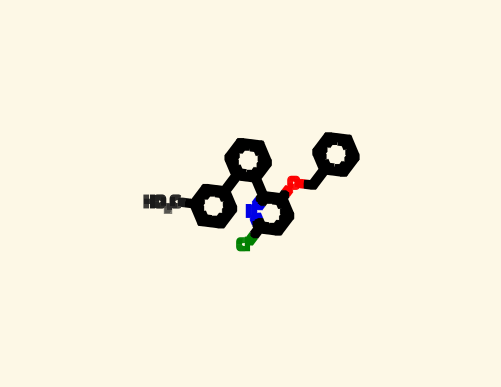 O=C(O)c1cccc(-c2ccccc2-c2nc(Cl)ccc2OCc2ccccc2)c1